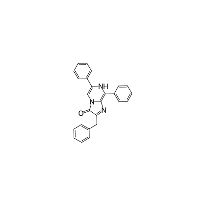 O=c1c(Cc2ccccc2)nc2c(-c3ccccc3)[nH]c(-c3ccccc3)cn1-2